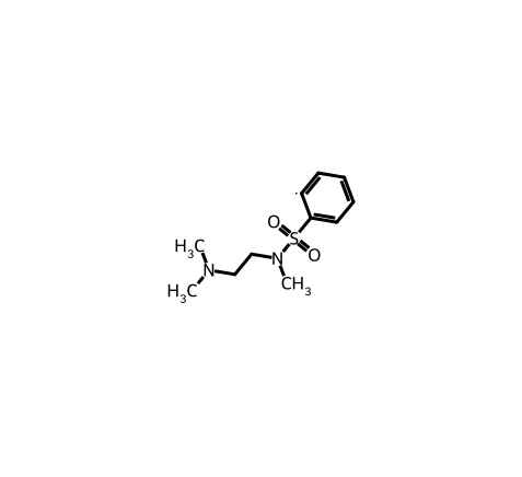 CN(C)CCN(C)S(=O)(=O)c1[c]cccc1